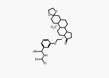 CCCC(NC(CC)CC)c1cccc(OCC[C@]23CCC4C(CCC5CC6(CC[C@@]54C)OCCO6)C2CCC3=O)c1